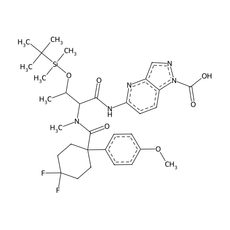 COc1ccc(C2(C(=O)N(C)C(C(=O)Nc3ccc4c(cnn4C(=O)O)n3)C(C)O[Si](C)(C)C(C)(C)C)CCC(F)(F)CC2)cc1